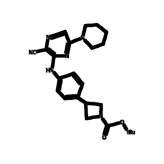 CC(C)(C)OC(=O)N1CC(c2ccc(Nc3nc(N4CCCCC4)cnc3C#N)cc2)C1